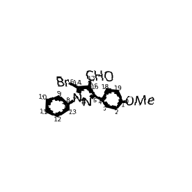 COc1ccc(-c2nn(-c3ccccc3)c(Br)c2C=O)cc1